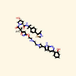 Cc1ncsc1-c1ccc(C(C)(C)NC(=O)[C@@H]2C[C@@H](O)CN2C(=O)[C@](C)(c2cc(OCCNCCN3CC(c4cc5cc(-c6ccccc6O)nnc5[nH]4)C3)no2)C(C)C)cc1